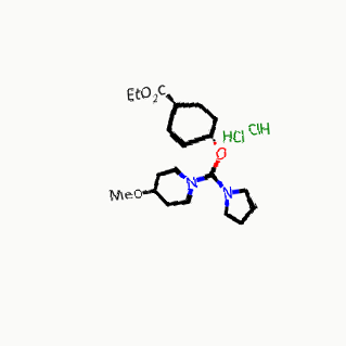 CCOC(=O)[C@H]1CC[C@H](OC(N2CCCC2)N2CCC(OC)CC2)CC1.Cl.Cl